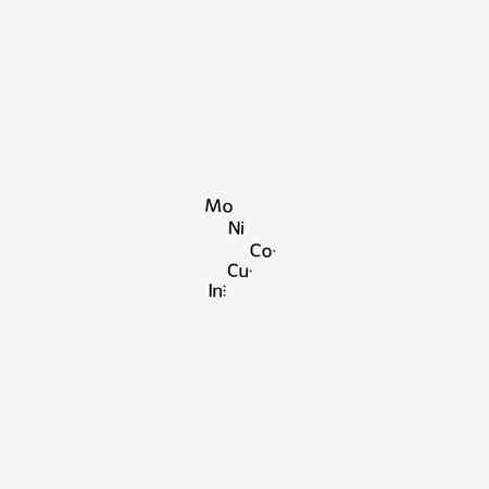 [Co].[Cu].[In].[Mo].[Ni]